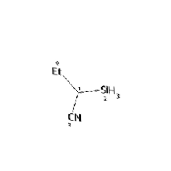 CCC([SiH3])C#N